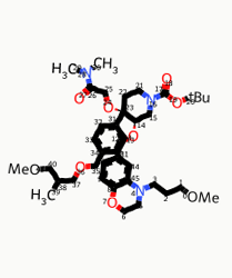 COCCCN1CCOc2ccc(CO[C@H]3CN(C(=O)OC(C)(C)C)CC[C@]3(OCC(=O)N(C)C)c3ccc(COCC(C)COC)cc3)cc21